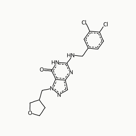 O=c1[nH]c(NCc2ccc(Cl)c(Cl)c2)nc2cnn(CC3CCOC3)c12